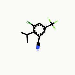 CC(C)c1c(Cl)cc(C(F)(F)F)cc1C#N